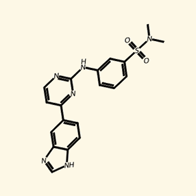 CN(C)S(=O)(=O)c1cccc(Nc2nccc(-c3ccc4[nH]cnc4c3)n2)c1